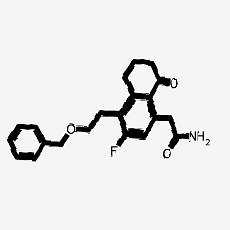 NC(=O)Cc1cc(F)c(CCOCc2ccccc2)c2c1C(=O)CCC2